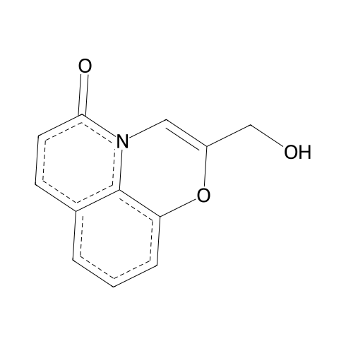 O=c1ccc2cccc3c2n1C=C(CO)O3